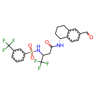 O=Cc1ccc2c(c1)CCC[C@H]2NC(=O)CC(NS(=O)(=O)c1cccc(C(F)(F)F)c1)C(F)(F)F